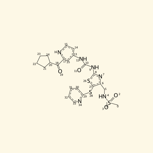 CS(=O)(=O)NCc1nc(NC(=O)Nc2ccnc(C(=O)C3CCCC3)c2)sc1Sc1ccccn1